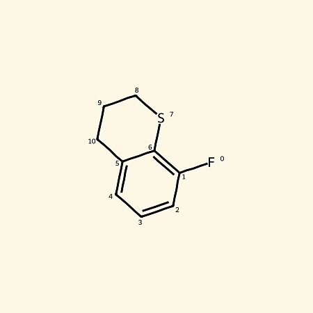 Fc1cccc2c1SCCC2